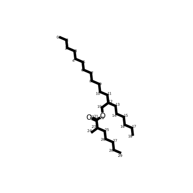 CCCCCCCCCCCCC(CCCCCC)COC(=O)C(C)CCCCC